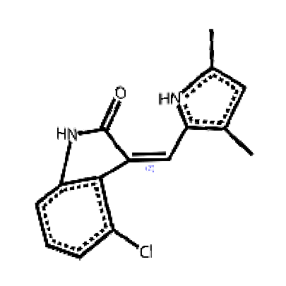 Cc1cc(C)c(/C=C2\C(=O)Nc3cccc(Cl)c32)[nH]1